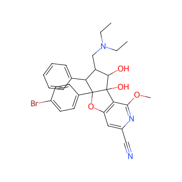 CCN(CC)CC1C(O)C2(O)c3c(cc(C#N)nc3OC)OC2(c2ccc(Br)cc2)C1c1ccccc1